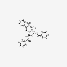 Cc1[nH]c2ccccc2c1C[C@H]1C[C@H](OCc2ccccc2)CN1CC(=O)c1ccccc1